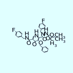 CC(C)(C)OC(=O)NN(Cc1ccc(F)cc1)C(=O)c1[nH]cc(C(=O)NCc2ccc(F)cc2)c(=O)c1OCc1ccccc1